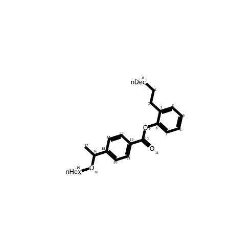 CCCCCCCCCCCCc1ccccc1OC(=O)c1ccc(C(C)OCCCCCC)cc1